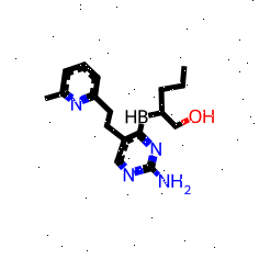 CCCC(Bc1nc(N)ncc1CCc1cccc(C)n1)CO